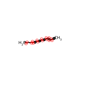 C=CC(=O)OCCCCOC(=O)Oc1ccc(C(=O)Oc2ccc(C(=O)Oc3ccc(C(=O)O[C@H]4COC5C4OC[C@H]5OC(=O)c4ccc(C)cc4)cc3)cc2)cc1